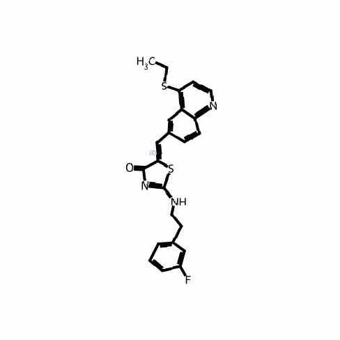 CCSc1ccnc2ccc(/C=C3\SC(NCCc4cccc(F)c4)=NC3=O)cc12